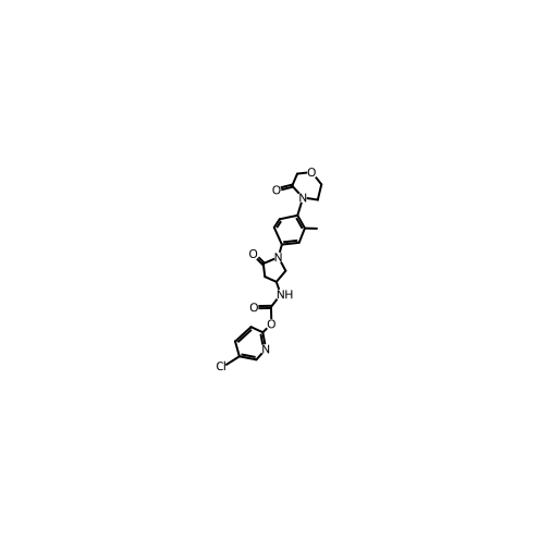 Cc1cc(N2CC(NC(=O)Oc3ccc(Cl)cn3)CC2=O)ccc1N1CCOCC1=O